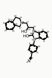 N#Cc1ccc(N2c3ccccc3N(CC(O)CN3CCc4ccccc4C3)C2O)cc1